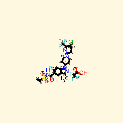 Cc1nn(C2CCN(c3ccc(Cl)c(C(F)(F)F)n3)CC2)c2cc(F)c(C(=O)NS(=O)(=O)C3CC3)cc12.O=C(O)C(F)(F)F